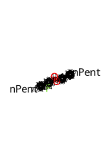 CCCCCc1ccc(-c2ccc(OC(=O)c3ccc(-c4ccc(CCCCC)cc4)c(F)c3)cc2)cc1